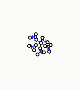 c1ccc(-n2c3ccccc3c3cc(-c4c(-c5ccc6c(c5)c5ccccc5n6-c5ccccc5)c(-c5ccc6c(c5)c5ccccc5n6-c5ccccc5)c5c(c4-c4ccc6c(c4)c4ccccc4n6-c4ccccc4)c4ccccc4n5-c4ccccc4)ccc32)cc1